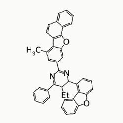 CCC1C(c2ccccc2)=NC(c2cc(C)c3c(c2)oc2c4ccccc4ccc23)=NC1c1cccc2oc3ccccc3c12